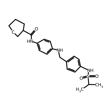 CC(C)S(=O)(=O)Nc1ccc(CNc2ccc(NC(=O)C3CCCCC3)cc2)cc1